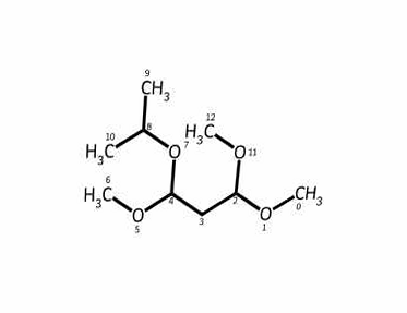 COC(CC(OC)OC(C)C)OC